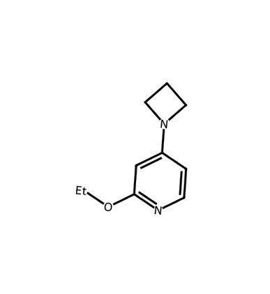 CCOc1cc(N2CCC2)ccn1